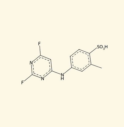 Cc1cc(Nc2cc(F)nc(F)n2)ccc1S(=O)(=O)O